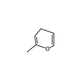 CC1=CCC=CO1